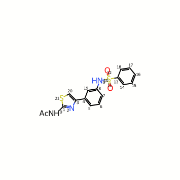 CC(=O)Nc1nc(-c2cccc(NS(=O)(=O)c3ccccc3)c2)cs1